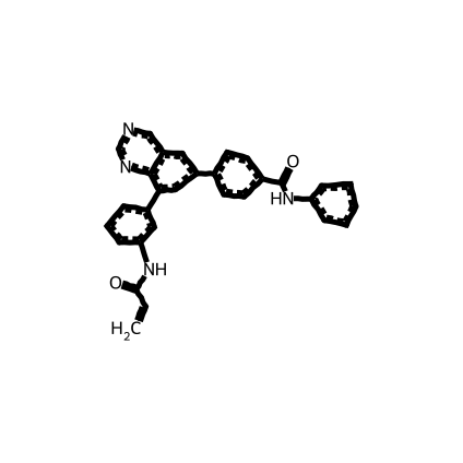 C=CC(=O)Nc1cccc(-c2cc(-c3ccc(C(=O)Nc4ccccc4)cc3)cc3cncnc23)c1